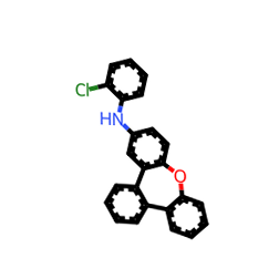 Clc1ccccc1Nc1ccc2c(c1)-c1ccccc1-c1ccccc1O2